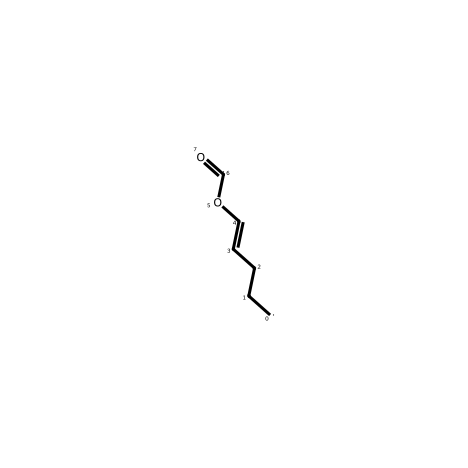 [CH2]CCC=CO[C]=O